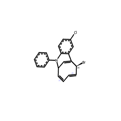 Clc1ccc2c(c1)C1=CC(/C=C\C=C\[C@@H]1Br)N2c1ccccc1